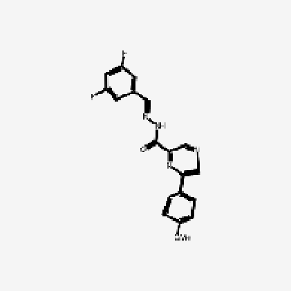 COc1ccc(-c2cncc(C(=O)N/N=C/c3cc(F)cc(F)c3)n2)cc1